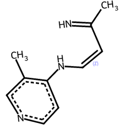 CC(=N)/C=C\Nc1ccncc1C